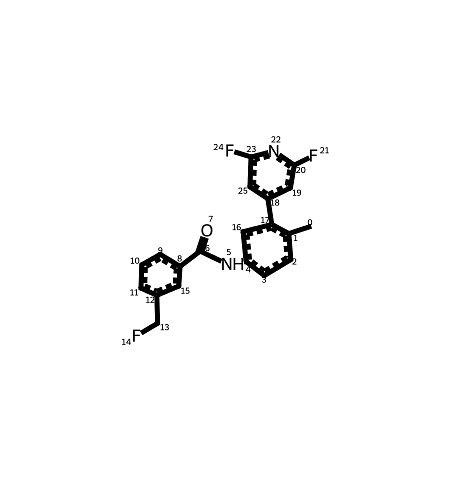 Cc1ccc(NC(=O)c2cccc(CF)c2)cc1-c1cc(F)nc(F)c1